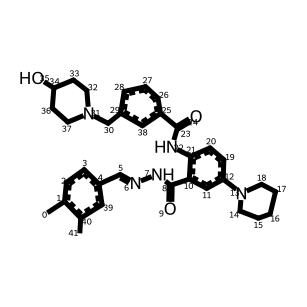 Cc1ccc(C=NNC(=O)c2cc(N3CCCCC3)ccc2NC(=O)c2cccc(CN3CCC(O)CC3)c2)cc1C